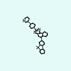 CC1(C)c2ccccc2-c2ccc(-c3cc4nn(-c5ccc(-c6cccnc6)cc5)nc4c4ccccc34)cc21